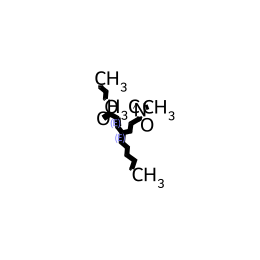 CCCCC/C=C(/C=C/C(=O)OCCCC)CCC(=O)N(C)C